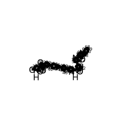 Cc1c(-c2cc(Nc3ccc(N4CCN(C5CC6(CCN(c7ccc8c(c7)C(=O)N(C7CCC(=O)NC7=O)C8=O)[C@@H](C)C6)C5)C[C@@H]4C)cn3)c(=O)n(C)c2)ccnc1N1CCn2c(cc3c2CC(C)(C)C3)C1=O